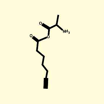 C#CCCCCC(=O)OC(=O)C(C)N